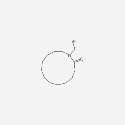 CC(C)CN1CCCCCCCCCCCC1=O